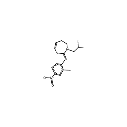 Cc1cc([N+](=O)[O-])ccc1N=C1SC=CCCN1CC(C)C